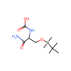 CC(C)(C)[Si](C)(C)OCC(NC(=O)O)C(N)=O